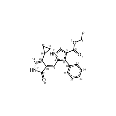 CCOC(=O)c1c[nH]c(/C=C2/C(=O)NN=C2C2CC2)c1-c1ccccc1